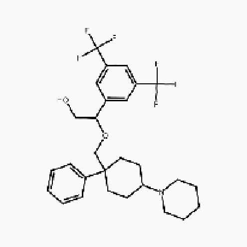 OCC(OCC1(c2ccccc2)CCC(N2CCCCC2)CC1)c1cc(C(F)(F)F)cc(C(F)(F)F)c1